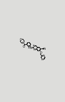 N#Cc1cc2cnc(Nc3cccc(C(=O)N4CCOCC4)c3)nc2cc1OCc1cnccn1